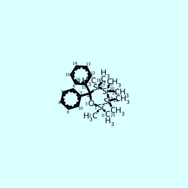 C[Si]1(C)OC(c2ccccc2)(c2ccccc2)[Si](C)(C)[Si](C)(C)[Si]1(C)C